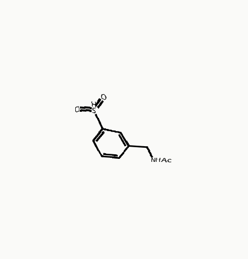 CC(=O)NCc1cccc([SH](=O)=O)c1